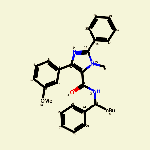 CCCCC(NC(=O)c1c(-c2cccc(OC)c2)nc(-c2ccccc2)n1C)c1ccccc1